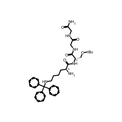 CC(C)(C)OC[C@H](NC(=O)[C@@H](N)CCCCNC(c1ccccc1)(c1ccccc1)c1ccccc1)C(=O)NCC(=O)NCC(N)=O